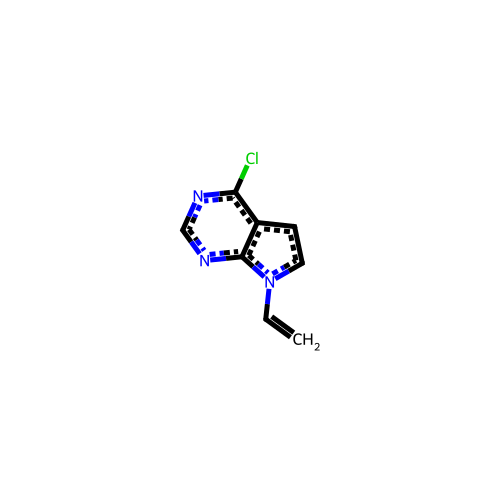 C=Cn1ccc2c(Cl)ncnc21